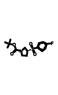 CC(C)(C)OC(=O)N1CC[C@@H](S(=O)(=O)c2ccc(F)cc2)C1